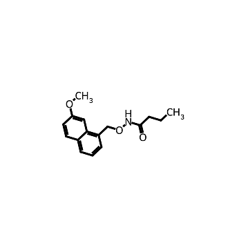 CCCC(=O)NOCc1cccc2ccc(OC)cc12